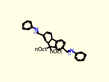 CCCCCCCCC1(CCCCCCCC)c2cc(/C=N/c3ccccc3)ccc2C2C=CC(/C=N/c3ccccc3)=CC21